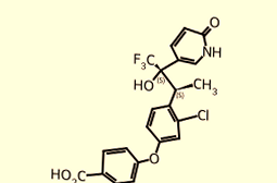 C[C@@H](c1ccc(Oc2ccc(C(=O)O)cc2)cc1Cl)[C@](O)(c1ccc(=O)[nH]c1)C(F)(F)F